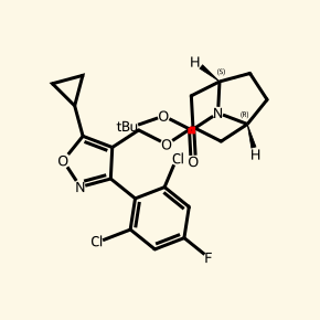 CC(C)(C)OC(=O)N1[C@@H]2CC[C@H]1CC(OCc1c(-c3c(Cl)cc(F)cc3Cl)noc1C1CC1)C2